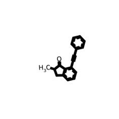 CC1Cc2cccc(C#Cc3ccccc3)c2C1=O